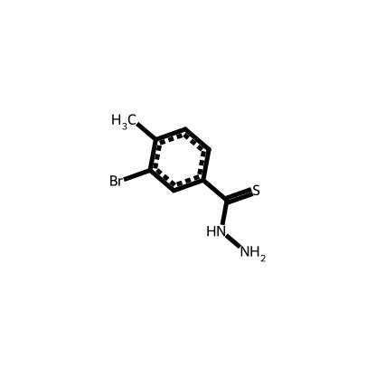 Cc1ccc(C(=S)NN)cc1Br